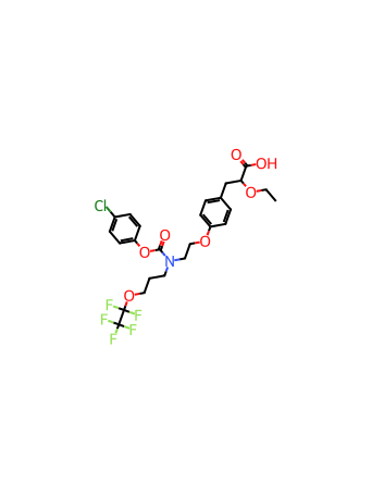 CCOC(Cc1ccc(OCCN(CCCOC(F)(F)C(F)(F)F)C(=O)Oc2ccc(Cl)cc2)cc1)C(=O)O